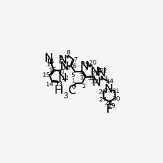 CCCc1c(Cc2ccnn2-c2ncccc2C#N)ncn2nc(CN3CCC(F)CC3)nc12